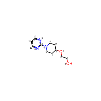 OCCOC1CCN(c2ncccn2)CC1